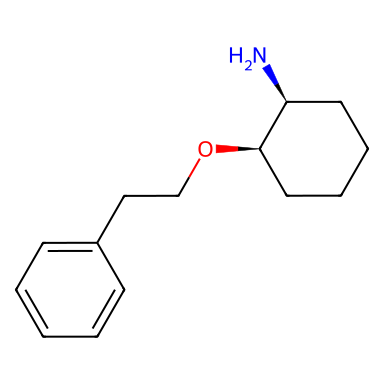 N[C@H]1CCCC[C@H]1OCCc1ccccc1